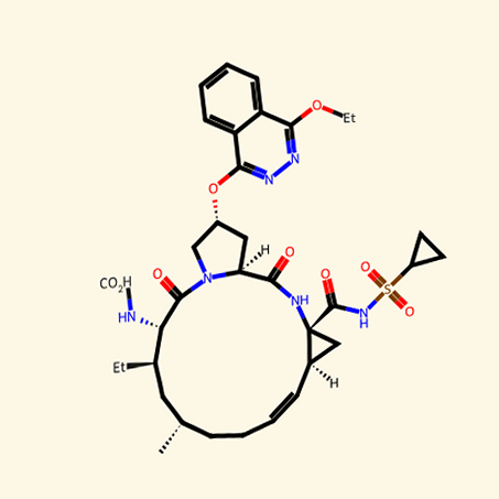 CCOc1nnc(O[C@@H]2C[C@H]3C(=O)N[C@]4(C(=O)NS(=O)(=O)C5CC5)C[C@H]4/C=C\CC[C@H](C)C[C@@H](CC)[C@H](NC(=O)O)C(=O)N3C2)c2ccccc12